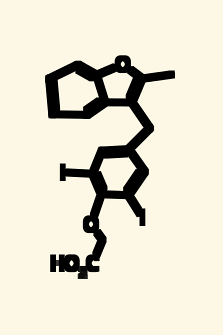 Cc1oc2ccccc2c1Cc1cc(I)c(OCC(=O)O)c(I)c1